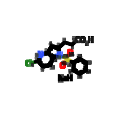 O=C(O)CCc1cc2nc(Cl)ccc2n1S(=O)(=O)c1ccccc1.[NaH]